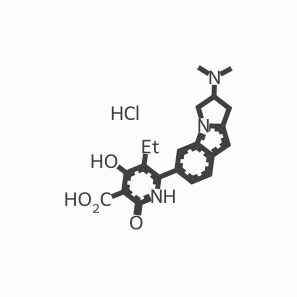 CCc1c(-c2ccc3cc4n(c3c2)CC(N(C)C)C4)[nH]c(=O)c(C(=O)O)c1O.Cl